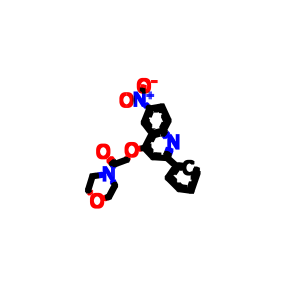 O=C(COc1cc(-c2ccccc2)nc2ccc([N+](=O)[O-])cc12)N1CCOCC1